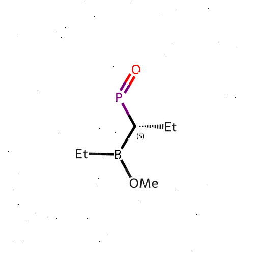 CCB(OC)[C@@H](CC)P=O